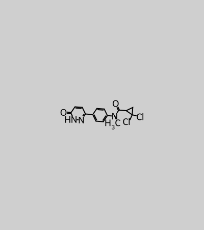 CN(C(=O)C1CC1(Cl)Cl)c1ccc(-c2ccc(=O)[nH]n2)cc1